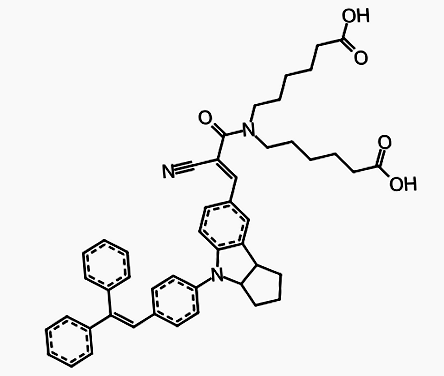 N#C/C(=C\c1ccc2c(c1)C1CCCC1N2c1ccc(C=C(c2ccccc2)c2ccccc2)cc1)C(=O)N(CCCCCC(=O)O)CCCCCC(=O)O